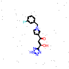 O=C(C=C(O)c1nn[nH]n1)c1ccn(Cc2cccc(F)c2)c1